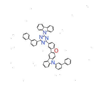 c1ccc(-c2cccc(-c3nc(-c4ccc5oc6cc7c(cc6c5c4)c4ccccc4n7-c4cccc(-c5ccccc5)c4)nc(-n4c5ccccc5c5ccccc54)n3)c2)cc1